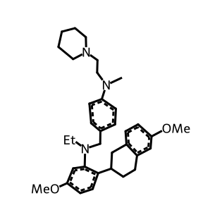 CCN(Cc1ccc(N(C)CCN2CCCCC2)cc1)c1cc(OC)ccc1C1CCc2cc(OC)ccc2C1